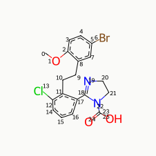 COc1ccc(Br)cc1CCc1c(Cl)cccc1C1=NCCN1C(=O)O